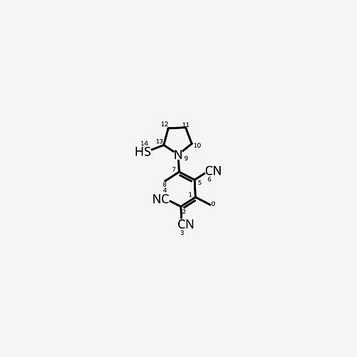 CC(=C(C#N)C#N)/C(C#N)=C(\C)N1CCCC1S